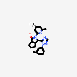 Cc1cccc(-n2ncnc2C2C3CCCC3C(=O)N2c2cc(C(F)(F)F)cc(C)n2)c1